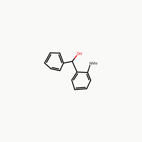 CNc1ccccc1C(O)c1ccccc1